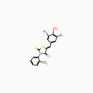 O=C1C(=Cc2cc(Br)c(O)c(Br)c2)SC(=S)N1c1ccccc1C(F)(F)F